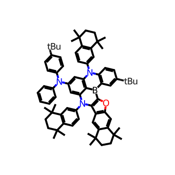 CC(C)(C)c1ccc(N(c2ccccc2)c2cc3c4c(c2)N(c2ccc5c(c2)C(C)(C)CCC5(C)C)c2c(oc5cc6c(cc25)C(C)(C)CCC6(C)C)B4c2cc(C(C)(C)C)ccc2N3c2ccc3c(c2)C(C)(C)CCC3(C)C)cc1